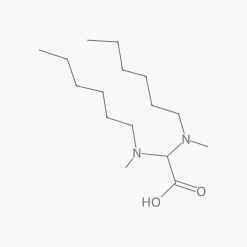 CCCCCCN(C)C(C(=O)O)N(C)CCCCCC